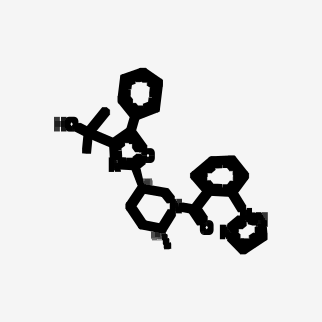 C[C@@H]1CC[C@@H](c2nc(C(C)(C)O)c(-c3ccccc3)o2)CN1C(=O)c1ccccc1-n1nccn1